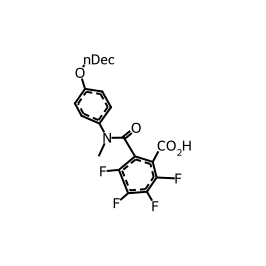 CCCCCCCCCCOc1ccc(N(C)C(=O)c2c(F)c(F)c(F)c(F)c2C(=O)O)cc1